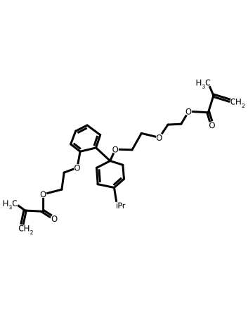 C=C(C)C(=O)OCCOCCOC1(c2ccccc2OCCOC(=O)C(=C)C)C=CC(C(C)C)=CC1